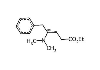 CCOC(=O)CC[C@H](Cc1ccccc1)N(C)C